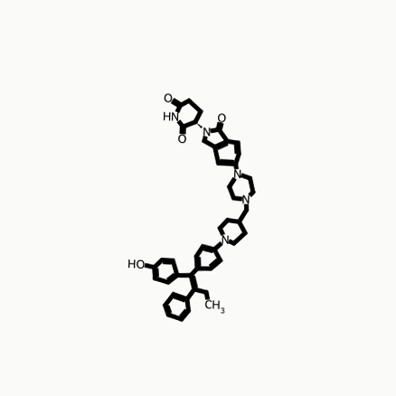 CC/C(=C(/c1ccc(O)cc1)c1ccc(N2CCC(CN3CCN(c4ccc5c(c4)CN([C@H]4CCC(=O)NC4=O)C5=O)CC3)CC2)cc1)c1ccccc1